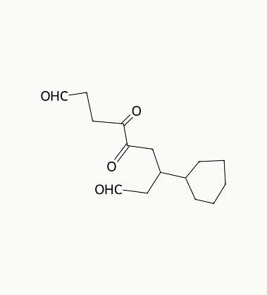 O=CCCC(=O)C(=O)CC(CC=O)C1CCCCC1